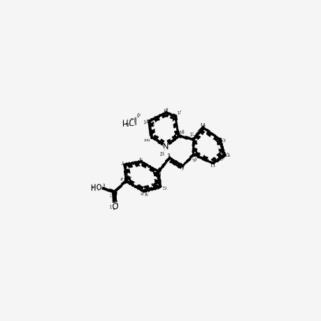 Cl.O=C(O)c1ccc(C=Cc2ccccc2-c2ccccn2)cc1